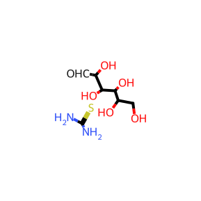 NC(N)=S.O=CC(O)C(O)C(O)C(O)CO